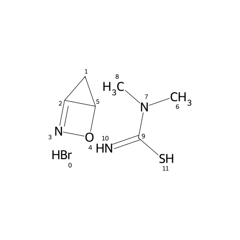 Br.C1C2=NOC12.CN(C)C(=N)S